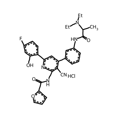 CCN(CC)C(C)C(=O)Nc1cccc(-c2cc(-c3ccc(F)cc3O)nc(NC(=O)c3ccco3)c2C#N)c1.Cl